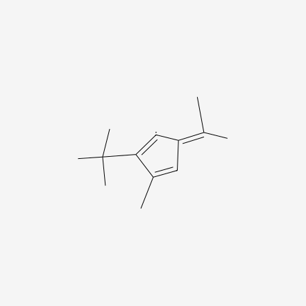 CC1=CC(=C(C)C)[C]=C1C(C)(C)C